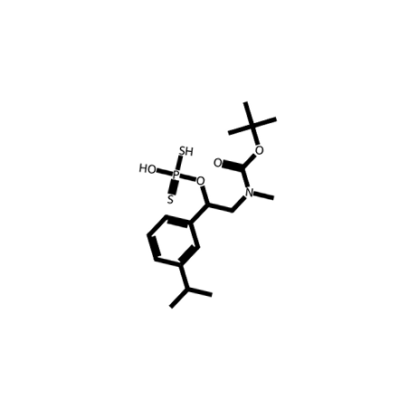 CC(C)c1cccc(C(CN(C)C(=O)OC(C)(C)C)OP(O)(=S)S)c1